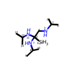 CC(C)NCC([SiH3])(NC(C)C)NC(C)C